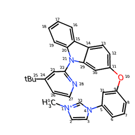 C[n+]1ccn(-c2cccc(Oc3ccc4c5ccccc5n(-c5cc(C(C)(C)C)ccn5)c4c3)c2)c1